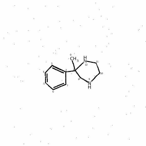 CC1(c2ccccc2)CNCCN1